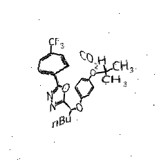 CCCCC(Oc1ccc(OC(C)(C)C(=O)O)cc1)c1nnc(-c2ccc(C(F)(F)F)cc2)o1